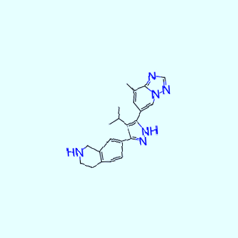 Cc1cc(-c2[nH]nc(-c3ccc4c(c3)CNCC4)c2C(C)C)cn2ncnc12